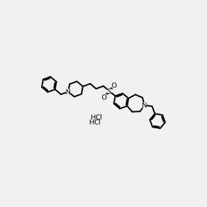 Cl.Cl.O=S(=O)(CCCC1CCN(Cc2ccccc2)CC1)c1ccc2c(c1)CCN(Cc1ccccc1)CC2